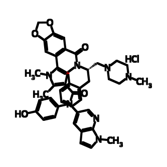 Cc1c(C(=O)N(c2ccc(O)cc2)c2cnc3c(ccn3C)c2)cc(-c2cc3c(cc2C(=O)N2Cc4ccccc4C[C@H]2CN2CCN(C)CC2)OCO3)n1C.Cl